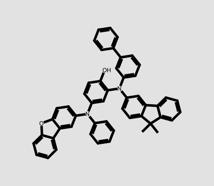 CC1(C)c2ccccc2-c2cc(N(c3cccc(-c4ccccc4)c3)c3cc(N(c4ccccc4)c4ccc5oc6ccccc6c5c4)ccc3O)ccc21